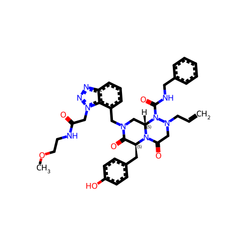 C=CCN1CC(=O)N2[C@@H](Cc3ccc(O)cc3)C(=O)N(Cc3cccc4nnn(CC(=O)NCCOC)c34)C[C@@H]2N1C(=O)NCc1ccccc1